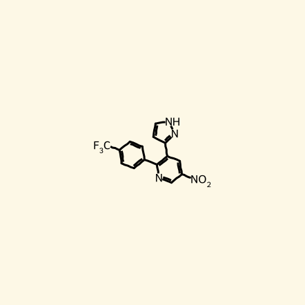 O=[N+]([O-])c1cnc(-c2ccc(C(F)(F)F)cc2)c(-c2cc[nH]n2)c1